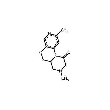 Cc1cc2c(cn1)OCC1CN(C)CC(=O)N21